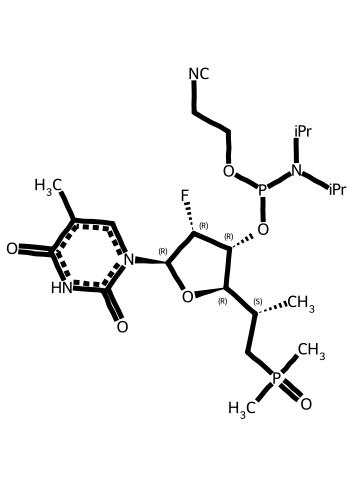 [C-]#[N+]CCOP(O[C@H]1[C@@H](F)[C@H](n2cc(C)c(=O)[nH]c2=O)O[C@@H]1[C@H](C)CP(C)(C)=O)N(C(C)C)C(C)C